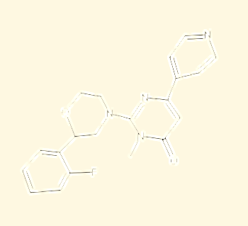 Cn1c(N2CCOC(c3ccccc3F)C2)nc(-c2ccncc2)cc1=O